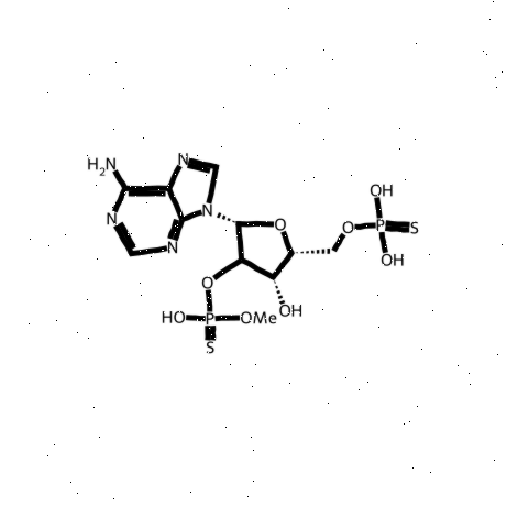 COP(O)(=S)OC1[C@@H](O)[C@@H](COP(O)(O)=S)O[C@H]1n1cnc2c(N)ncnc21